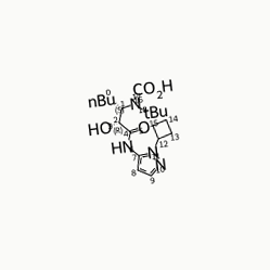 CCCC[C@@H]([C@@H](O)C(=O)Nc1ccnn1C1CCC1)N(C(=O)O)C(C)(C)C